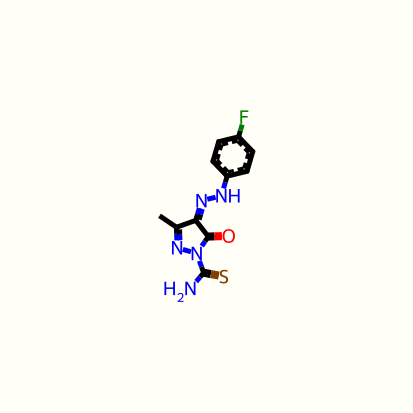 CC1=NN(C(N)=S)C(=O)C1=NNc1ccc(F)cc1